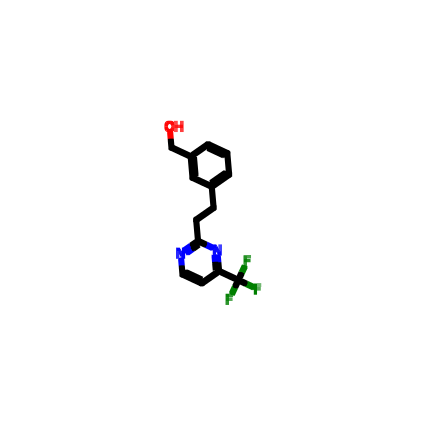 OCc1cccc(CCc2nccc(C(F)(F)F)n2)c1